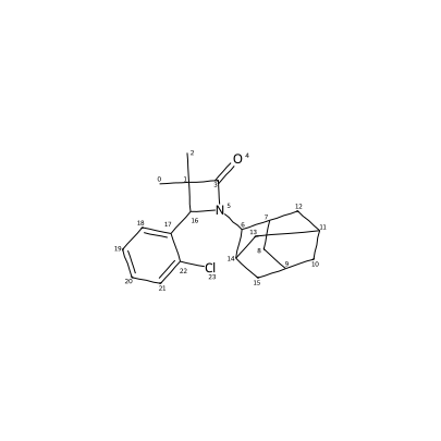 CC1(C)C(=O)N(C2C3CC4CC(C3)CC2C4)C1c1ccccc1Cl